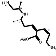 COC(=O)C(=CC[C@H](C)N[C@H](C)CN)/C=C\CN